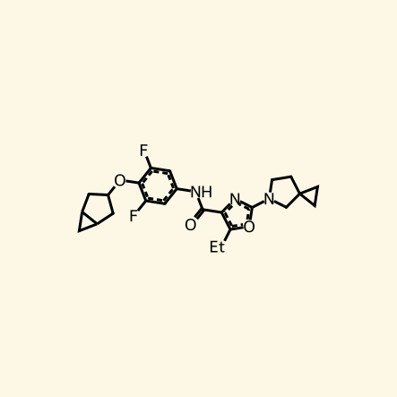 CCc1oc(N2CCC3(CC3)C2)nc1C(=O)Nc1cc(F)c(OC2CC3CC3C2)c(F)c1